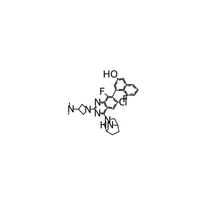 CN(C)C1CN(c2nc(N3CC4CCC(C3)N4)c3cc(Cl)c(-c4cc(O)cc5cccc(F)c45)c(F)c3n2)C1